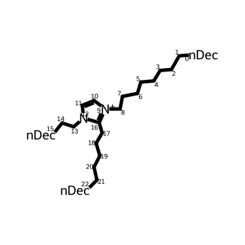 CCCCCCCCCCCCCCCCCC[n+]1ccn(CCCCCCCCCCCC)c1CCCCCCCCCCCCCCC